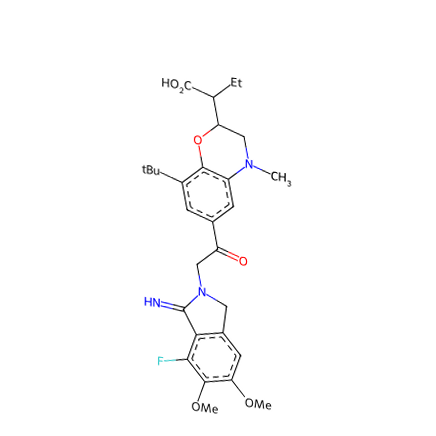 CCC(C(=O)O)C1CN(C)c2cc(C(=O)CN3Cc4cc(OC)c(OC)c(F)c4C3=N)cc(C(C)(C)C)c2O1